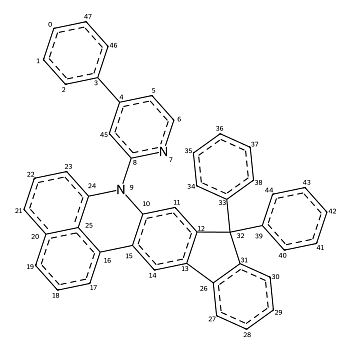 c1ccc(-c2ccnc(N3c4cc5c(cc4-c4cccc6cccc3c46)-c3ccccc3C5(c3ccccc3)c3ccccc3)c2)cc1